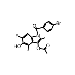 CC(=O)Oc1c(C)n(C(=O)c2ccc(Br)cc2)c2cc(F)c(O)c(C)c12